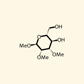 CO[C@H]1O[C@H](CO)[C@@H](O)[C@H](OC)[C@@H]1OC